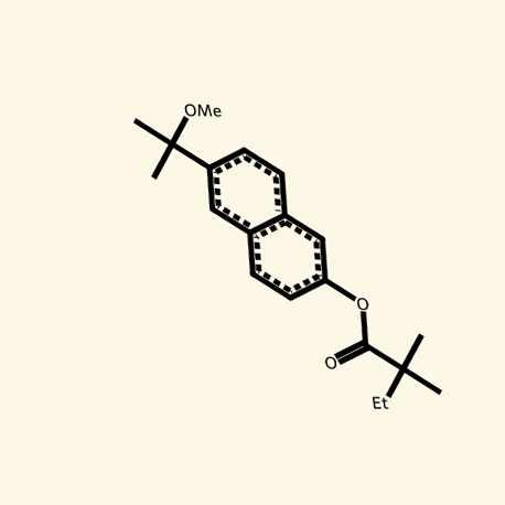 CCC(C)(C)C(=O)Oc1ccc2cc(C(C)(C)OC)ccc2c1